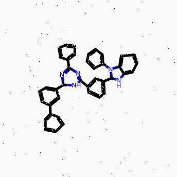 c1ccc(C2=NC(c3cccc(-c4ccccc4)c3)NC(c3cccc(C4Nc5ccccc5N4c4ccccc4)c3)=N2)cc1